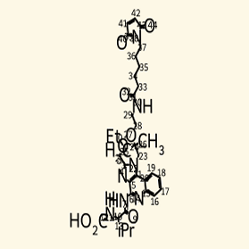 CCOCc1nc2c(NC(=O)C(NC(=O)O)C(C)C)nc3ccccc3c2n1CC(C)(C)OCCNC(=O)CCCCCN1C(=O)C=CC1=O